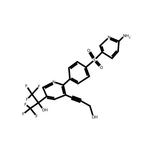 Nc1ccc(S(=O)(=O)c2ccc(-c3ncc(C(O)(C(F)(F)F)C(F)(F)F)cc3C#CCO)cc2)cn1